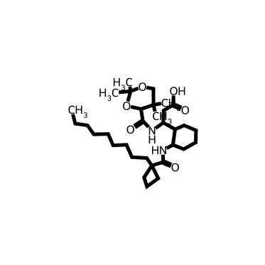 CCCCCCCCCC1(C(=O)NC2CCCCC2C(CC(=O)O)NC(=O)C2OC(C)(C)OCC2(C)C)CCC1